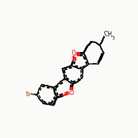 CC1C=Cc2c(oc3cc4c(cc23)oc2ccc(Br)cc24)C1